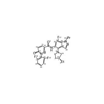 CC[C@H]1CCN(c2c(NC(=O)c3ccc(=O)n(-c4c(F)cccc4F)n3)cc(F)c3c2cnn3C(C)C)C1